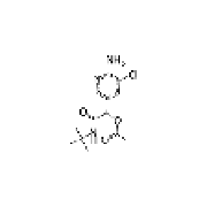 CC(=O)OC(C(=O)NC(C)(C)C)c1cnc(N)c(Cl)c1